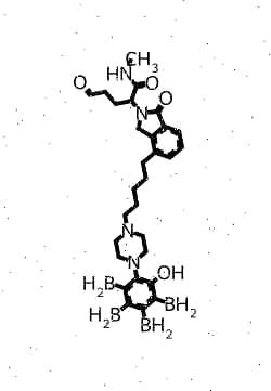 Bc1c(B)c(B)c(N2CCN(CCCCCc3cccc4c3CN(C(CCC=O)C(=O)NC)C4=O)CC2)c(O)c1B